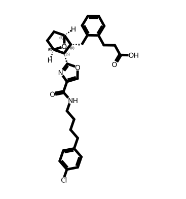 O=C(O)CCc1ccccc1C[C@@H]1[C@H](c2nc(C(=O)NCCCCc3ccc(Cl)cc3)co2)[C@H]2CC[C@@H]1O2